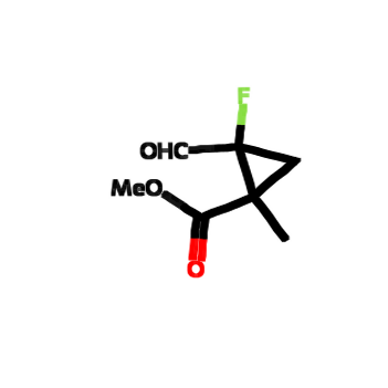 COC(=O)C1(C)CC1(F)C=O